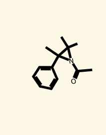 CC(=O)N1C(C)(C)C1(C)c1ccccc1